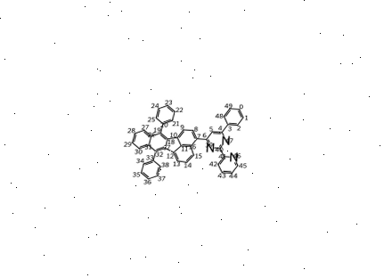 c1ccc(-c2cc(-c3ccc4c5c(cccc35)-c3c-4c(-c4ccccc4)c4ccccc4c3-c3ccccc3)nc(-c3ccccn3)n2)cc1